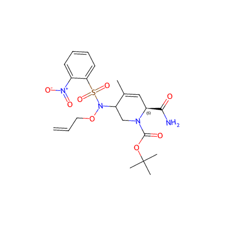 C=CCON(C1CN(C(=O)OC(C)(C)C)[C@H](C(N)=O)C=C1C)S(=O)(=O)c1ccccc1[N+](=O)[O-]